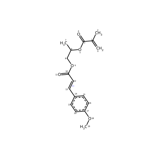 C=C(C)C(=O)OC(C)COC(=O)/C=C/c1ccc(OC)cc1